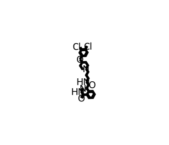 O=C(NCCCN1CCC(Oc2ccc(Cl)c(Cl)c2)CC1)c1n[nH]c(=O)c2ccccc12